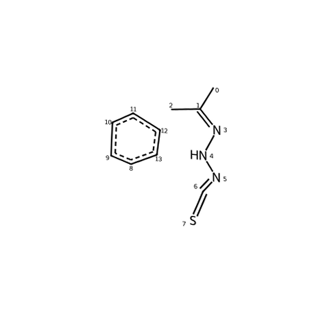 CC(C)=NNN=C=S.c1ccccc1